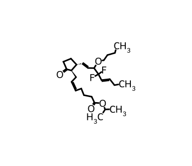 CC/C=C/C(F)(F)C(/C=C/[C@H]1CCC(=O)[C@@H]1C/C=C\CCCC(=O)OC(C)C)OCCCC